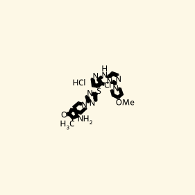 COC1CCN(c2nccc(Nc3nccc(Sc4cnc(N5CCC6(CC5)CC(=O)[C@@H](C)[C@@H]6N)cn4)c3Cl)n2)CC1.Cl